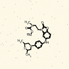 CC1CN(c2ccc(Nc3ccc4oc(=O)n(CCN(C)C(=O)OC(C)(C)C)c4c3)cc2)CC(C)O1